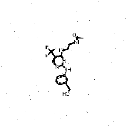 CC(=O)NCCNc1nc(Nc2cccc(CO)c2)ncc1C(F)(F)F